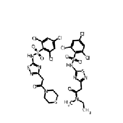 CCN(C)C(=O)Cc1nsc(NS(=O)(=O)c2c(Cl)cc(Cl)cc2Cl)n1.O=C(Cc1nsc(NS(=O)(=O)c2c(Cl)cc(Cl)cc2Cl)n1)N1CCSCC1